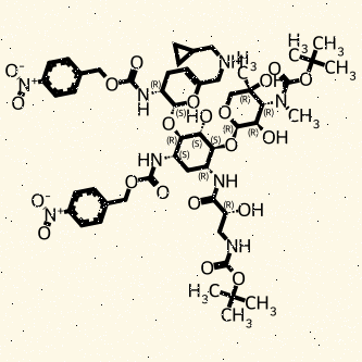 CN(C(=O)OC(C)(C)C)[C@@H]1[C@@H](O)[C@@H](O[C@@H]2[C@@H](O)[C@H](O[C@H]3OC(CNCC4CC4)=CC[C@H]3NC(=O)OCc3ccc([N+](=O)[O-])cc3)[C@@H](NC(=O)OCc3ccc([N+](=O)[O-])cc3)C[C@H]2NC(=O)[C@H](O)CNC(=O)OC(C)(C)C)OC[C@]1(C)O